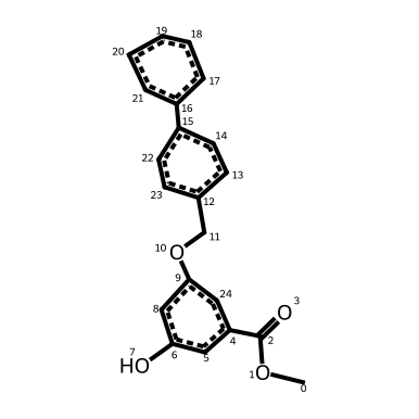 COC(=O)c1cc(O)cc(OCc2ccc(-c3ccccc3)cc2)c1